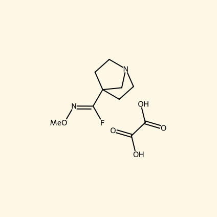 CON=C(F)C12CCN(CC1)C2.O=C(O)C(=O)O